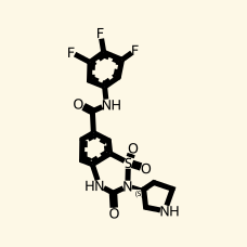 O=C(Nc1cc(F)c(F)c(F)c1)c1ccc2c(c1)S(=O)(=O)N([C@H]1CCNC1)C(=O)N2